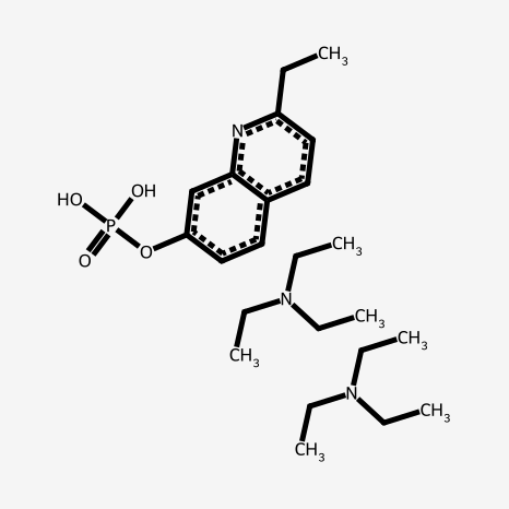 CCN(CC)CC.CCN(CC)CC.CCc1ccc2ccc(OP(=O)(O)O)cc2n1